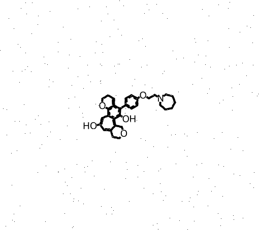 OC1=Cc2c3c(c(-c4ccc(OCCN5CCCCCC5)cc4)c(O)c2=C2COCCC2=C1)=CCCO3